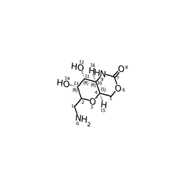 NCC1O[C@@H]2COC(=O)N[C@@H]2[C@@H](O)[C@H]1O